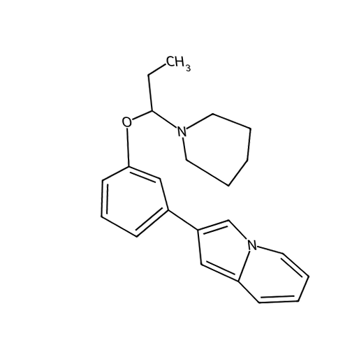 CCC(Oc1cccc(-c2cc3ccccn3c2)c1)N1CCCCC1